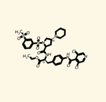 CCOC(=O)[C@H](Cc1ccc(NC(=O)c2c(Cl)cncc2Cl)cc1)NC(=O)C1C[C@@H](N2CCCCC2)CN1S(=O)(=O)c1cccc(S(C)(=O)=O)c1